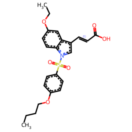 CCCCOc1ccc(S(=O)(=O)n2cc(/C=C/C(=O)O)c3cc(OCC)ccc32)cc1